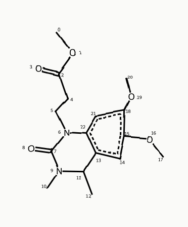 COC(=O)CCN1C(=O)N(C)C(C)c2cc(OC)c(OC)cc21